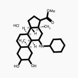 COC(=O)C1CC[C@H]2[C@@H]3CCC4CC(O)C(O)C[C@]4(C)[C@@H]3C(NC3CCCCC3)C[C@]12C.Cl